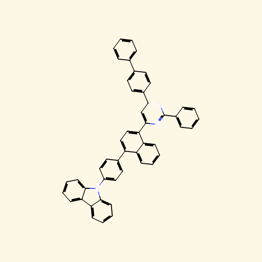 N/C(=N\C(=C/Cc1ccc(-c2ccccc2)cc1)c1ccc(-c2ccc(-n3c4ccccc4c4ccccc43)cc2)c2ccccc12)c1ccccc1